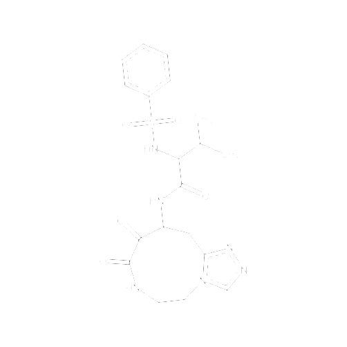 CC(C)C(NS(=O)(=O)c1ccccc1)C(=O)NC1Cc2nncn2CCNC(=O)C1=O